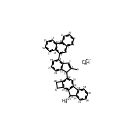 CC1=Cc2c(-c3cc4ccccc4c4ccccc34)cccc2C1c1cc2c(c3c1CC3)[CH]([Hf+2])c1ccccc1-2.[Cl-].[Cl-]